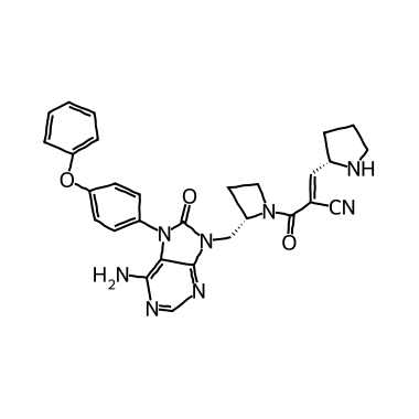 N#CC(=C[C@@H]1CCCN1)C(=O)N1CC[C@H]1Cn1c(=O)n(-c2ccc(Oc3ccccc3)cc2)c2c(N)ncnc21